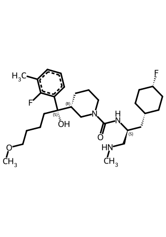 CNC[C@H](C[C@H]1CC[C@@H](F)CC1)NC(=O)N1CCC[C@@H]([C@@](O)(CCCCOC)c2cccc(C)c2F)C1